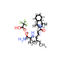 CC[C@H](C)[C@@H](/C=C/C(=O)N1[C@@H]2CC[C@H]1c1ccccc12)N[C@@H](C)C(N)=O.O=C(O)C(F)(F)F